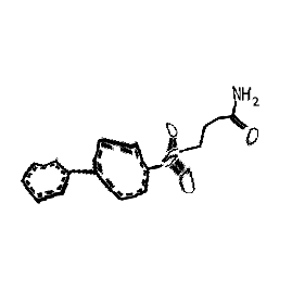 NC(=O)CCS(=O)(=O)c1ccc(-c2ccccc2)cc1